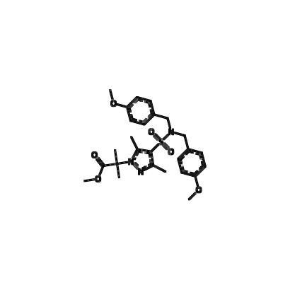 COC(=O)C(C)(C)n1nc(C)c(S(=O)(=O)N(Cc2ccc(OC)cc2)Cc2ccc(OC)cc2)c1C